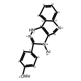 COc1ccc(C2=NNc3c(cnc4ccccc34)N2C(C)=O)cc1